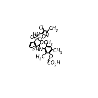 Cc1cc(C)c(OCC(=O)O)c(C)c1NC(=O)c1sccc1S(=O)(=O)Nc1onc(C)c1Cl